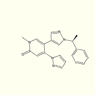 C[C@@H](c1ccccc1)n1cc(-c2cn(C)c(=O)cc2-n2cccn2)cn1